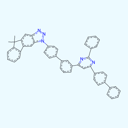 CC1(C)c2ccccc2-c2cc3c(cc21)nnn3-c1ccc(-c2cccc(-c3cc(-c4ccc(-c5ccccc5)cc4)nc(-c4ccccc4)n3)c2)cc1